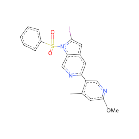 COc1cc(C)c(-c2cc3cc(I)n(S(=O)(=O)c4ccccc4)c3cn2)cn1